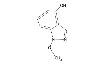 COn1ncc2c(O)cccc21